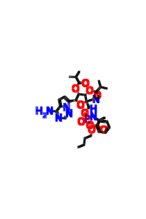 CCCCOC(=O)[C@H](C)N[P@](=O)(OC[C@@]1(C#N)O[C@@H](c2ccc3c(N)ncnn23)[C@H](OC(=O)C(C)C)[C@@H]1OC(=O)C(C)C)Oc1ccccc1